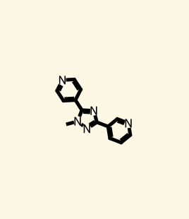 Cn1nc(-c2cccnc2)nc1-c1ccncc1